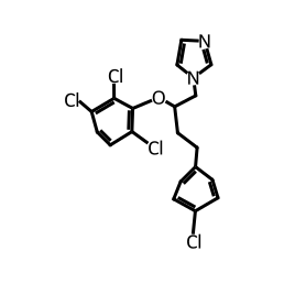 Clc1ccc(CCC(Cn2ccnc2)Oc2c(Cl)ccc(Cl)c2Cl)cc1